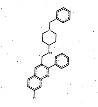 Clc1ccc2cc(CNC3CCN(Cc4ccccc4)CC3)c(-c3ccccc3)nc2c1